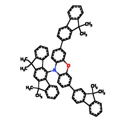 CC1(C)c2ccccc2-c2ccc(-c3ccc4c(c3)Oc3cc(-c5ccc6c(c5)C(C)(C)c5ccccc5-6)ccc3N4c3c4c(cc5c3-c3ccccc3C5(C)C)C(C)(C)c3ccccc3-4)cc21